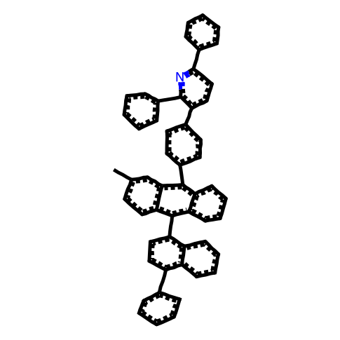 Cc1ccc2c(-c3ccc(-c4ccccc4)c4ccccc34)c3ccccc3c(-c3ccc(-c4ccc(-c5ccccc5)nc4-c4ccccc4)cc3)c2c1